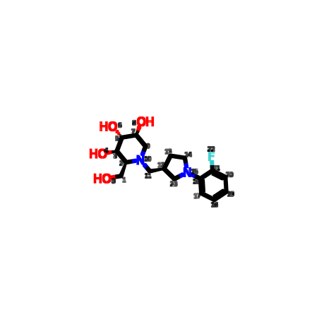 OC[C@H]1[C@@H](O)[C@H](O)[C@@H](O)CN1C[C@H]1CCN(c2ccccc2F)C1